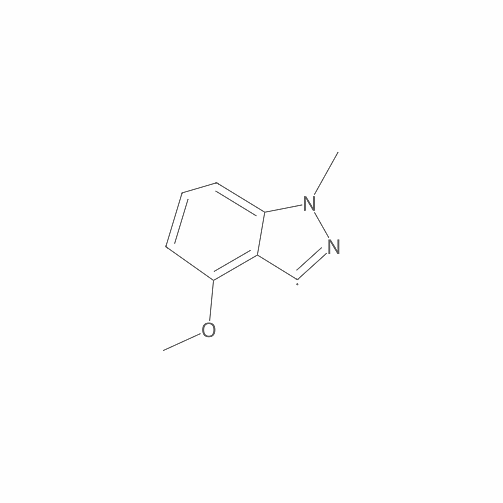 COc1cccc2c1[c]nn2C